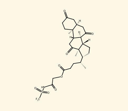 C[C@H](CCC(=O)OCC(=O)NS(=O)(=O)C(F)(F)F)[C@H]1CC[C@H]2[C@@H]3C(=O)C[C@@H]4CC(=O)CC[C@]4(C)[C@H]3CC(=O)[C@]12C